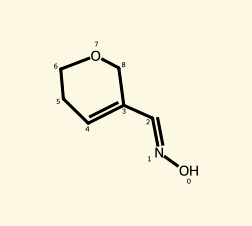 ON=CC1=CCCOC1